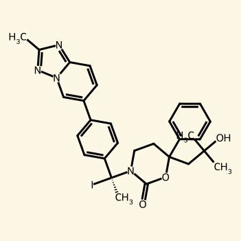 Cc1nc2ccc(-c3ccc([C@](C)(I)N4CCC(CC(C)(C)O)(c5ccccc5)OC4=O)cc3)cn2n1